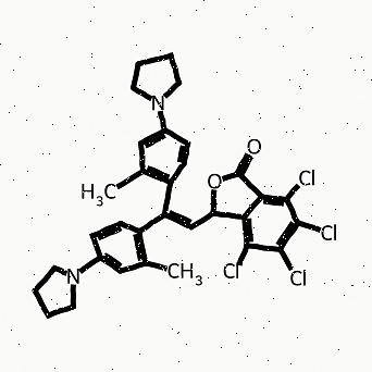 Cc1cc(N2CCCC2)ccc1C(=CC1OC(=O)c2c(Cl)c(Cl)c(Cl)c(Cl)c21)c1ccc(N2CCCC2)cc1C